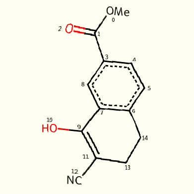 COC(=O)c1ccc2c(c1)C(O)=C(C#N)CC2